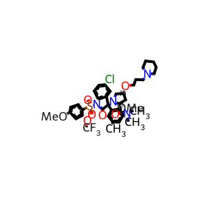 COc1ccc(S(=O)(=O)N2C(=O)C(c3cc(C)ccc3OC)(N3C[C@H](OCCCN4CCCCC4)C[C@H]3C(=O)N(C)C)c3cc(Cl)ccc32)c(OC(F)(F)F)c1